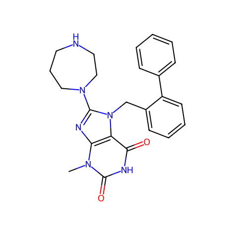 Cn1c(=O)[nH]c(=O)c2c1nc(N1CCCNCC1)n2Cc1ccccc1-c1ccccc1